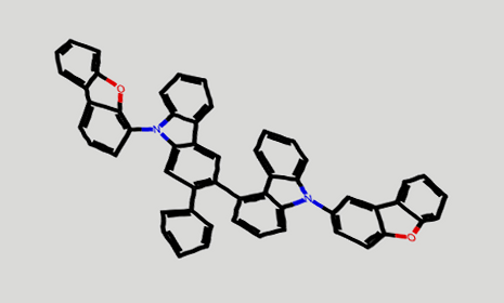 c1ccc(-c2cc3c(cc2-c2cccc4c2c2ccccc2n4-c2ccc4oc5ccccc5c4c2)c2ccccc2n3-c2cccc3c2oc2ccccc23)cc1